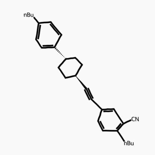 CCCCc1ccc([C@H]2CC[C@H](C#Cc3ccc(CCCC)c(C#N)c3)CC2)cc1